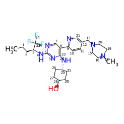 CCC[C@H](Nc1ncc(-c2ccc(CN3CCN(C)CC3)cn2)c(N[C@H]2CC[C@H](O)CC2)n1)C(F)(F)F